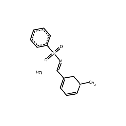 CN1C=CC=C(C=NS(=O)(=O)c2ccccc2)C1.Cl